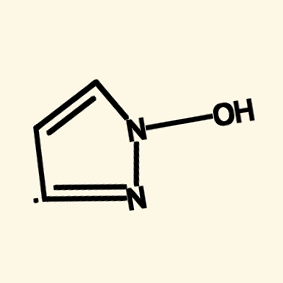 On1cc[c]n1